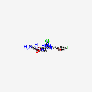 N#CN/C(=N/CCCCCCOc1ccc(Cl)cc1)Nc1cc[n+](COC(=O)NCCCN)cc1.[Cl-]